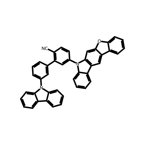 N#Cc1ccc(-n2c3ccccc3c3cc4c(cc32)oc2ccccc24)cc1-c1cccc(-n2c3ccccc3c3ccccc32)c1